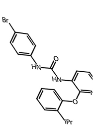 CC(C)c1ccccc1Oc1ncccc1NC(=O)Nc1ccc(Br)cc1